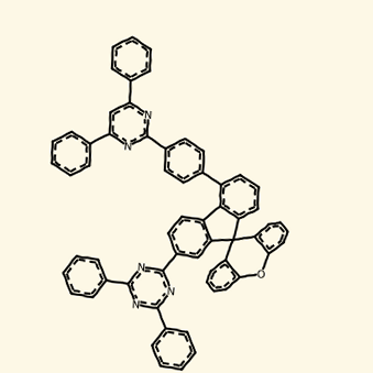 c1ccc(-c2cc(-c3ccccc3)nc(-c3ccc(-c4cccc5c4-c4ccc(-c6nc(-c7ccccc7)nc(-c7ccccc7)n6)cc4C54c5ccccc5Oc5ccccc54)cc3)n2)cc1